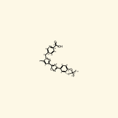 Cc1cc(-c2nc(-c3ccc(OC(F)(F)F)cc3)no2)nn1Cc1ccc(C(=O)O)nc1